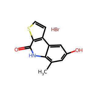 Br.Cc1cc(O)cc2c1[nH]c(=O)c1sccc12